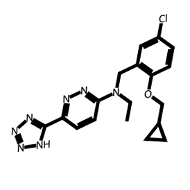 CCN(Cc1cc(Cl)ccc1OCC1CC1)c1ccc(-c2nnn[nH]2)nn1